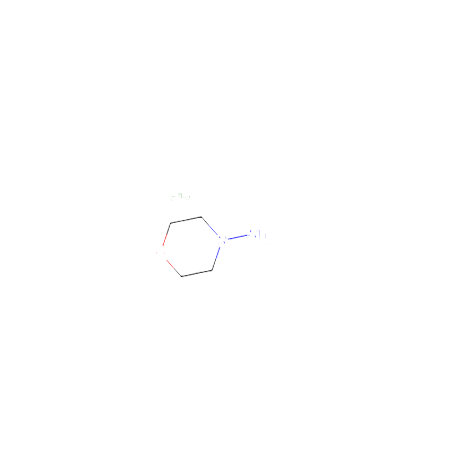 Br.NN1CCOCC1